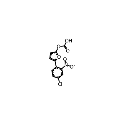 O=C(O)Oc1ccc(-c2ccc(Cl)cc2[N+](=O)[O-])o1